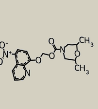 CC1CN(C(=O)OCOc2ccc([N+](=O)[O-])c3cccnc23)CC(C)O1